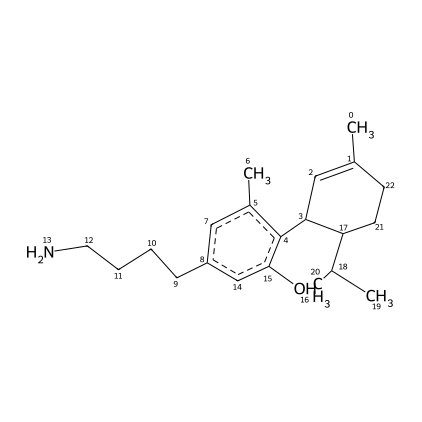 CC1=CC(c2c(C)cc(CCCCN)cc2O)C(C(C)C)CC1